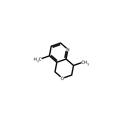 Cc1ccnc2c1COCC2C